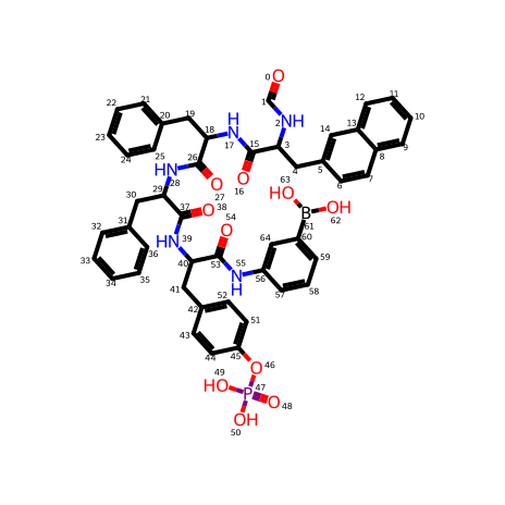 O=CNC(Cc1ccc2ccccc2c1)C(=O)NC(Cc1ccccc1)C(=O)NC(Cc1ccccc1)C(=O)NC(Cc1ccc(OP(=O)(O)O)cc1)C(=O)Nc1cccc(B(O)O)c1